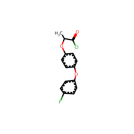 CC(Oc1ccc(Oc2ccc(F)cc2)cc1)C(=O)Cl